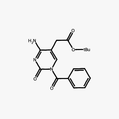 CC(C)(C)OC(=O)Cc1cn(C(=O)c2ccccc2)c(=O)nc1N